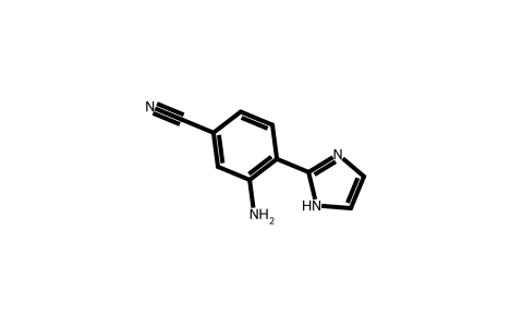 N#Cc1ccc(-c2ncc[nH]2)c(N)c1